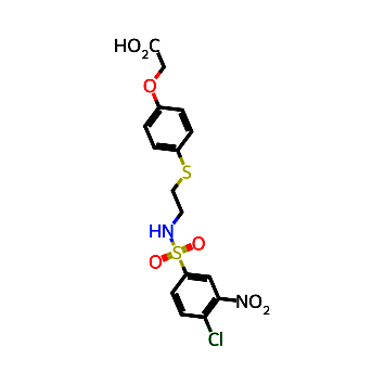 O=C(O)COc1ccc(SCCNS(=O)(=O)c2ccc(Cl)c([N+](=O)[O-])c2)cc1